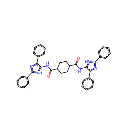 O=C(Nc1[nH]c(-c2ccccc2)nc1-c1ccccc1)C1CCC(C(=O)Nc2[nH]c(-c3ccccc3)nc2-c2ccccc2)CC1